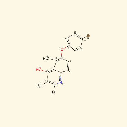 CCc1nc2ccc(Oc3ccc(Br)cc3)c(C)c2c(O)c1C